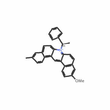 COc1ccc2c(ccc3c2cc2c4ccc(C)cc4ccc2[n+]3[C@H](C)c2ccccc2)c1